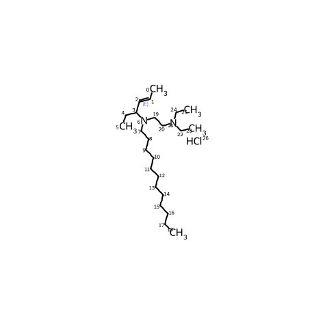 C/C=C/C(CC)N(CCCCCCCCCCCC)CCN(CC)CC.Cl